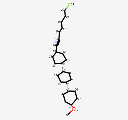 CO[C@H]1CC[C@H](C2CCC([C@H]3CC[C@H](/C=C/CCCCCF)CC3)CC2)CC1